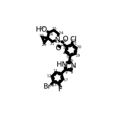 O=S(=O)(c1cc(-c2ncc(-c3ccc(Br)c(F)c3)[nH]2)ccc1Cl)N1CCC(O)C2(CC2)C1